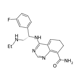 CCNC[C@@H](Nc1ncnc2c1=CCCC=2C(N)=O)c1cccc(F)c1